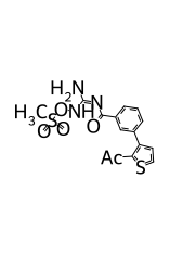 CC(=O)c1sccc1-c1cccc(C(=O)N=C(N)NOS(C)(=O)=O)c1